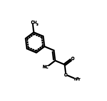 CCCOC(=O)/C(C#N)=C/c1cccc(C)c1